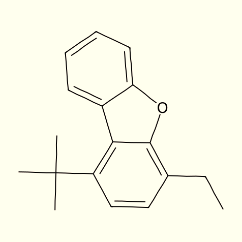 CCc1ccc(C(C)(C)C)c2c1oc1ccccc12